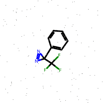 FC(F)(F)C1(c2cc[c]cc2)N=N1